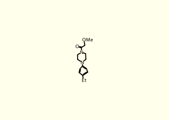 CCc1ccc(N2CCN(C(=O)COC)CC2)cc1